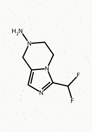 NN1CCn2c(cnc2C(F)F)C1